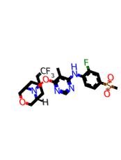 Cc1c(Nc2ccc(S(C)(=O)=O)cc2F)ncnc1O[C@@H]1CC2COC[C@@H](C1)N2CCC(F)(F)F